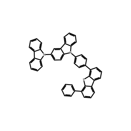 c1ccc(-c2cccc3c2sc2c(-c4ccc(-n5c6ccccc6c6cc(-n7c8ccccc8c8ccccc87)ccc65)cc4)cccc23)cc1